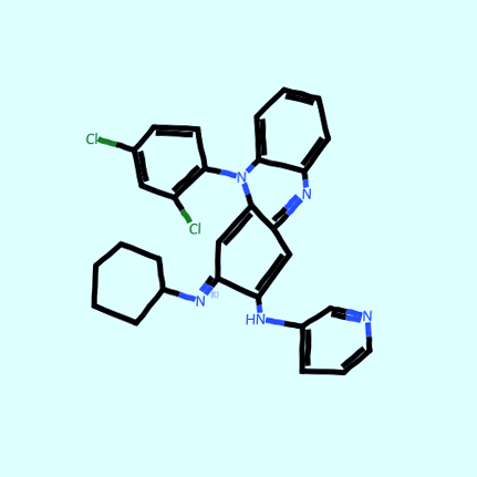 Clc1ccc(-n2c3c/c(=N\C4CCCCC4)c(Nc4cccnc4)cc-3nc3ccccc32)c(Cl)c1